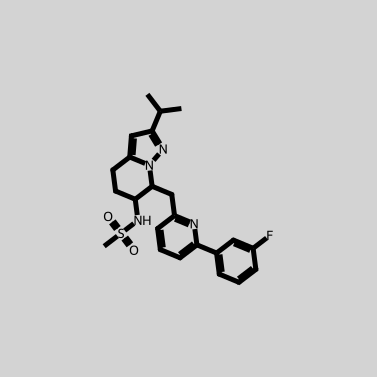 CC(C)c1cc2n(n1)C(Cc1cccc(-c3cccc(F)c3)n1)C(NS(C)(=O)=O)CC2